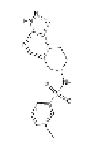 Cc1cccc(S(=O)(=O)NC2CCc3c(cnc4[nH]ncc34)C2)c1